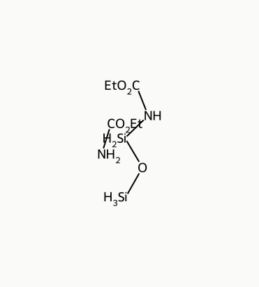 CCOC(=O)N[SiH2]O[SiH3].CCOC(N)=O